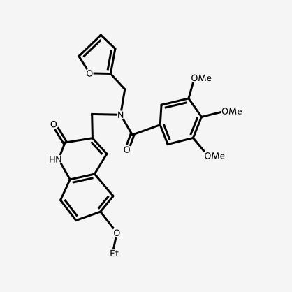 CCOc1ccc2[nH]c(=O)c(CN(Cc3ccco3)C(=O)c3cc(OC)c(OC)c(OC)c3)cc2c1